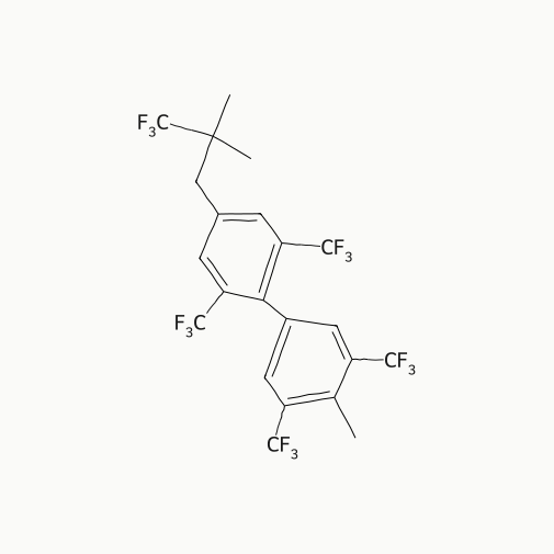 Cc1c(C(F)(F)F)cc(-c2c(C(F)(F)F)cc(CC(C)(C)C(F)(F)F)cc2C(F)(F)F)cc1C(F)(F)F